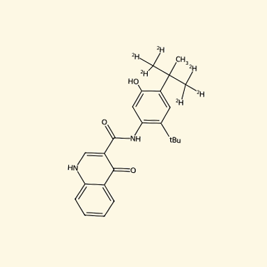 [2H]C([2H])([2H])C(C)(c1cc(C(C)(C)C)c(NC(=O)c2c[nH]c3ccccc3c2=O)cc1O)C([2H])([2H])[2H]